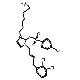 CCCCCCCN1C=CN(CC=CCc2cccc(Cl)c2Cl)C1OS(=O)(=O)c1ccc(C)cc1